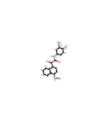 COc1ccc(C(=O)C(=O)Nc2ccc(Cl)c(C(F)(F)F)c2)c2ccccc12